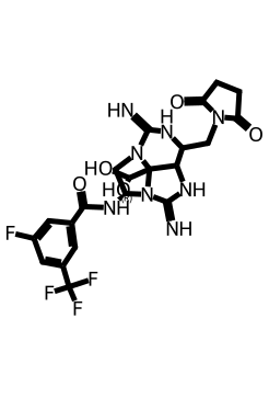 N=C1NC(CN2C(=O)CCC2=O)C2NC(=N)N3[C@@H](NC(=O)c4cc(F)cc(C(F)(F)F)c4)CN1C23C(O)O